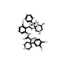 C[C@H]1CNC[C@](CCc2c(F)cccc2NC(=O)[C@@H](N)C2(c3ccc(F)c(F)c3)CCOCC2)(S(=O)(=O)c2ccccc2)N1